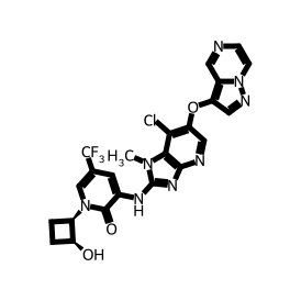 Cn1c(Nc2cc(C(F)(F)F)cn([C@@H]3CC[C@@H]3O)c2=O)nc2ncc(Oc3cnn4ccncc34)c(Cl)c21